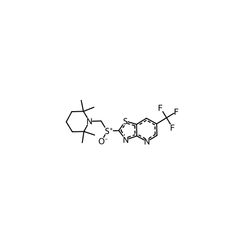 CC1(C)CCCC(C)(C)N1C[S+]([O-])c1nc2ncc(C(F)(F)F)cc2s1